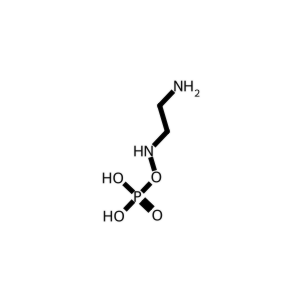 NCCNOP(=O)(O)O